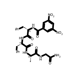 CC(C)C[C@H](NC(=O)c1cc([N+](=O)[O-])cc([N+](=O)[O-])c1)C(=O)N[C@@H](CC(C)C)C(=O)N[C@@H](C)C(=O)NCC(N)=O